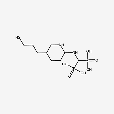 O=P(O)(O)C(NC1CCC(CCCS)CN1)P(=O)(O)O